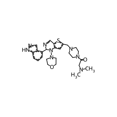 CN(C)CC(=O)N1CCN(Cc2cc3c(s2)C=NC(c2cccc4[nH]ncc24)N3N2CCOCC2)CC1